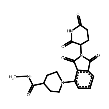 CNC(=O)C1CCN(c2cccc3c2C(=O)N(C2CCC(=O)NC2=O)C3=O)CC1